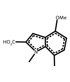 COc1ccc(C)c2c1cc(C(=O)O)n2C